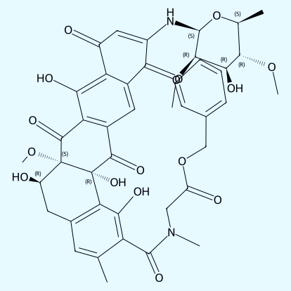 CO[C@@H]1[C@@H](O)[C@@H](OC)[C@@H](NC2=CC(=O)c3c(cc4c(c3O)C(=O)[C@]3(OC)[C@H](O)Cc5cc(C)c(C(=O)N(C)CC(=O)OCc6ccccc6)c(O)c5[C@]3(O)C4=O)C2=O)O[C@H]1C